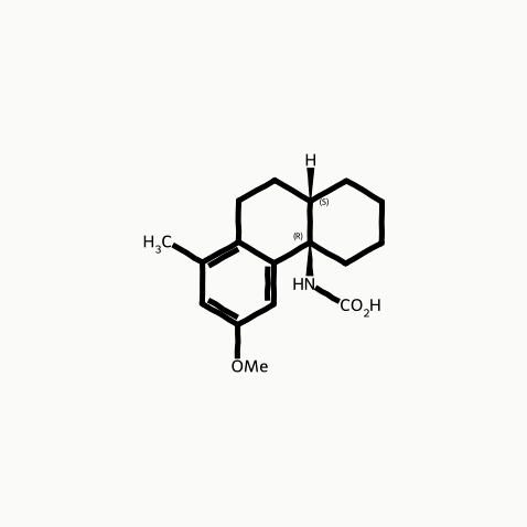 COc1cc(C)c2c(c1)[C@@]1(NC(=O)O)CCCC[C@H]1CC2